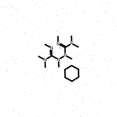 C/N=C(\N(C)C)N(C)N(C)/C(=N/C)N(C)C.C1CCCCC1